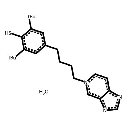 CC(C)(C)c1cc(CCCCn2ccc3ncnc-3c2)cc(C(C)(C)C)c1S.O